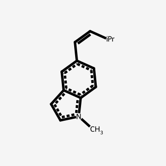 CC(C)/C=C\c1ccc2c(ccn2C)c1